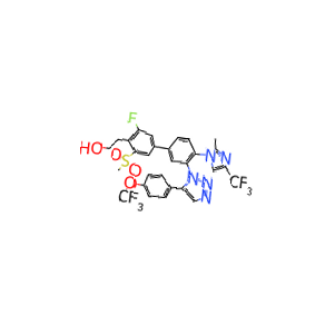 Cc1nc(C(F)(F)F)cn1-c1ccc(-c2cc(F)c(CCO)c(S(C)(=O)=O)c2)cc1-n1nncc1-c1ccc(OC(F)(F)F)cc1